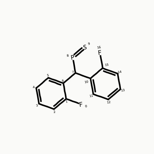 Fc1ccccc1C(P=S)c1ccccc1F